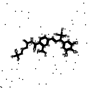 CC(CSCC(F)(F)F)NC(=O)c1ccc(/C=C/C(c2cc(Cl)c(Cl)c(Cl)c2)C(F)(F)F)cc1C(F)F